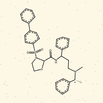 C[C@H](c1ccccc1)N(C)CCC(NC(=O)C1SCCN1S(=O)(=O)c1ccc(-c2ccccc2)cc1)c1ccccc1